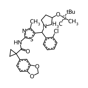 Cc1nc(NC(=O)C2(c3ccc4c(c3)OCO4)CC2)sc1C(c1ccccc1Cl)N1CCC(O[Si](C)(C)C(C)(C)C)C1